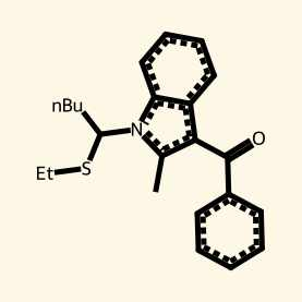 CCCCC(SCC)n1c(C)c(C(=O)c2ccccc2)c2ccccc21